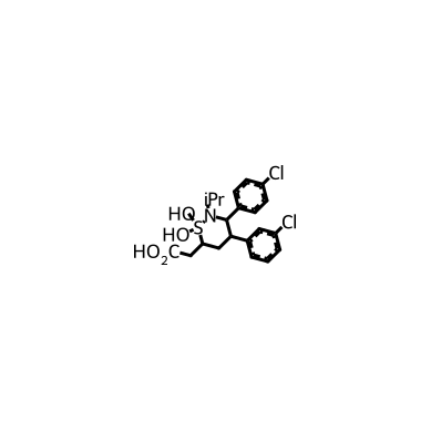 CC(C)N1C(c2ccc(Cl)cc2)C(c2cccc(Cl)c2)CC(CC(=O)O)S1(O)O